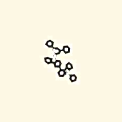 c1ccc(-c2cc(-c3ccccc3)nc(-n3c4ccccc4c4cc(-c5cccc6c5c5ccccc5n6-c5ccccc5)ccc43)c2)cc1